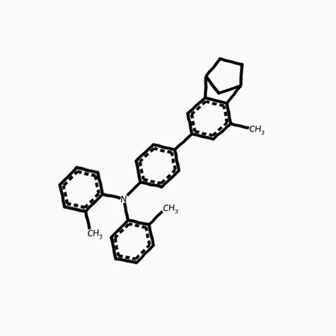 Cc1ccccc1N(c1ccc(-c2cc(C)c3c(c2)C2CCC3C2)cc1)c1ccccc1C